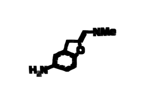 CNC=C1Cc2cc(N)ccc2O1